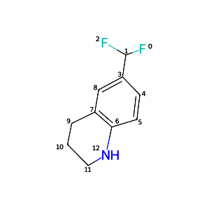 FC(F)c1ccc2c(c1)CCCN2